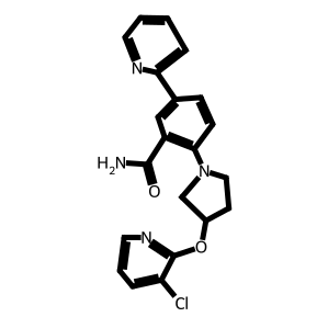 NC(=O)c1cc(-c2ccccn2)ccc1N1CCC(Oc2ncccc2Cl)C1